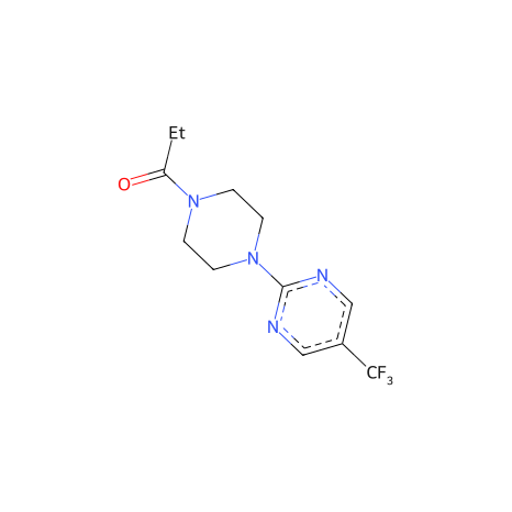 [CH2]CC(=O)N1CCN(c2ncc(C(F)(F)F)cn2)CC1